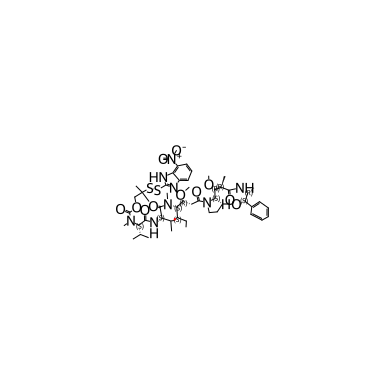 CC[C@H](C)[C@@H]([C@@H](CC(=O)N1CCC[C@H]1[C@H](OC)[C@@H](C)C(=O)N[C@H](C)[C@@H](O)c1ccccc1)OC)N(C)C(=O)[C@@H](NC(=O)[C@H](C(C)C)N(C)C(=O)OCC(C)(C)SSc1nc2cccc([N+](=O)[O-])c2[nH]1)C(C)C